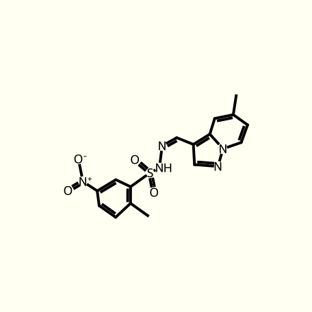 Cc1ccn2ncc(/C=N\NS(=O)(=O)c3cc([N+](=O)[O-])ccc3C)c2c1